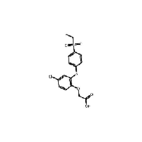 CCS(=O)(=O)c1ccc(Sc2cc(Cl)ccc2OCC(=O)O)cc1